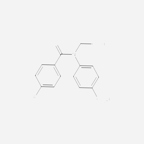 CCOC(=O)CN(C(=O)c1ccc(F)cc1)c1ccc(C(=O)OCC)cc1